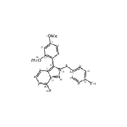 COc1ccc(-c2c3cccc(F)c3nn2Cc2ccc(F)cc2)c(OC)c1